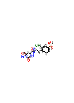 CS(=O)(=O)c1ccc(CCNC(=O)c2cc(=O)[nH]c(=O)[nH]2)c(Cl)c1